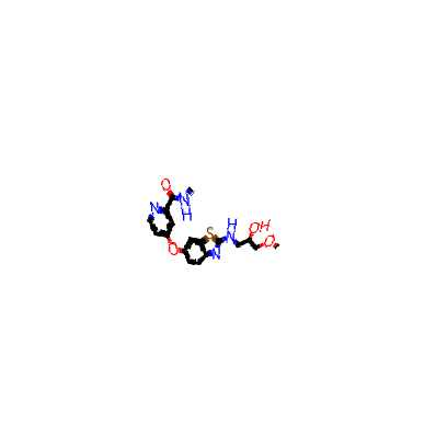 CNC(=O)c1cc(Oc2ccc3nc(NCC(O)COC)sc3c2)ccn1